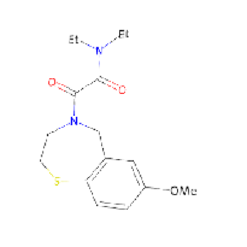 CCN(CC)C(=O)C(=O)N1CCSc2ccc(OC)cc2C1